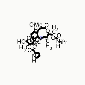 CO[C@H]1C[C@H]2C=C[C@@H]3C[C@]2(O[C@H]3[C@H](OC(=O)c2ccc[nH]2)[C@H](C)[C@H](C)O)/C(C)=C/[C@@H](C)[C@@H]([C@@H](C)OC(=O)NC(C)C)OC1=O